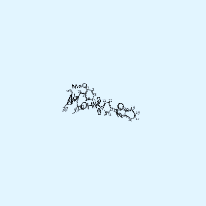 COc1ccc(NS(=O)(=O)c2ccc(-c3nc4ccccc4o3)cc2)c2c1C[C@@H](N(C)C)CO2